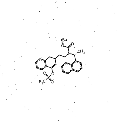 C[C@H](c1cccc2ccccc12)N(CCC1C=C(OS(=O)(=O)C(F)(F)F)c2ccccc2C1)C(=O)OC(C)(C)C